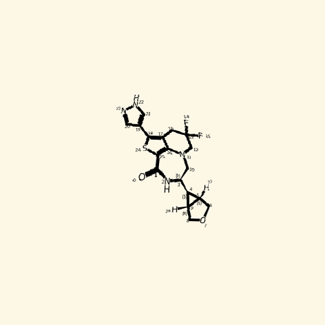 O=C1N[C@H]([C@H]2[C@@H]3COC[C@@H]32)CN2CC(F)(F)Cc3c(-c4cn[nH]c4)sc1c32